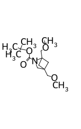 COCC12CN(C(=O)OC(C)(C)C)C(COC)(C1)C2